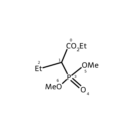 CCOC(=O)C(CC)P(=O)(OC)OC